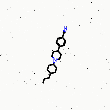 CCCC1CCC(N2CCC(c3ccc(C#N)cc3)CC2)CC1